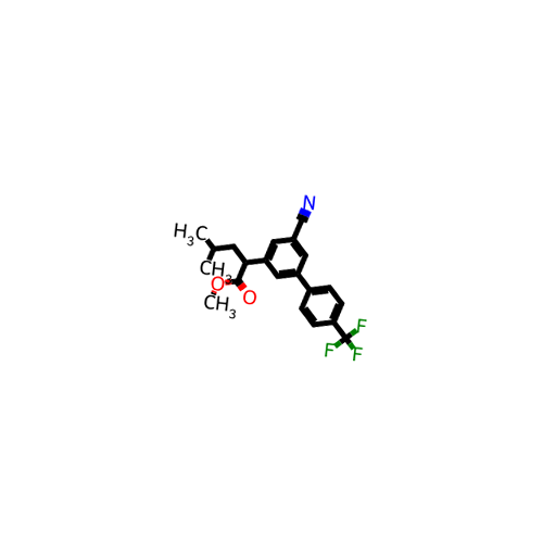 COC(=O)C(CC(C)C)c1cc(C#N)cc(-c2ccc(C(F)(F)F)cc2)c1